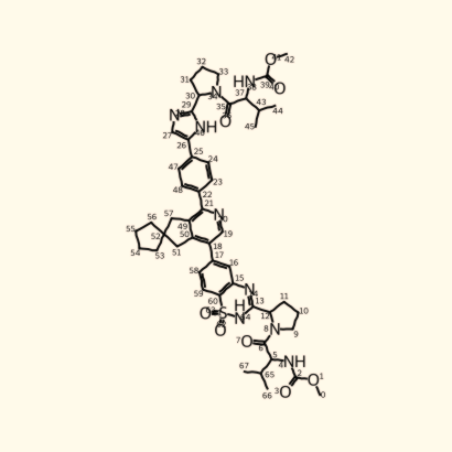 COC(=O)NC(C(=O)N1CCCC1C1=Nc2cc(-c3cnc(-c4ccc(-c5cnc(C6CCCN6C(=O)C(NC(=O)OC)C(C)C)[nH]5)cc4)c4c3CC3(CCCC3)C4)ccc2S(=O)(=O)N1)C(C)C